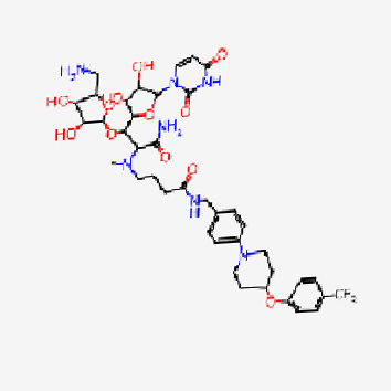 CN(CCCC(=O)NCc1ccc(N2CCC(Oc3ccc(C(F)(F)F)cc3)CC2)cc1)C(C(N)=O)C(OC1OC(CN)C(O)C1O)C1OC(n2ccc(=O)[nH]c2=O)C(O)C1O